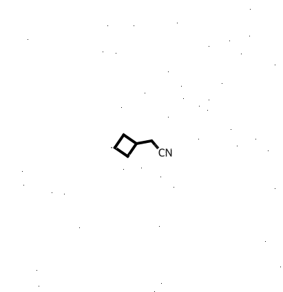 N#CCC1C[CH]C1